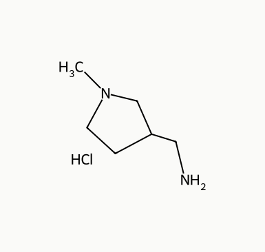 CN1CCC(CN)C1.Cl